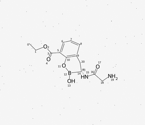 CCOC(=O)c1cccc2c1OB(O)[C@@H](NC(=O)CN)C2